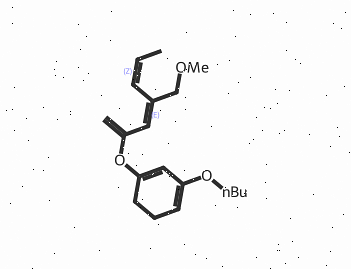 C=C(/C=C(\C=C/C)COC)OC1=CC(OCCCC)=CCC1